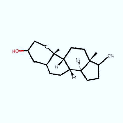 C[C@]12CCC(O)CC1CC[C@@H]1[C@H]2CC[C@]2(C)C(C#N)CC[C@@H]12